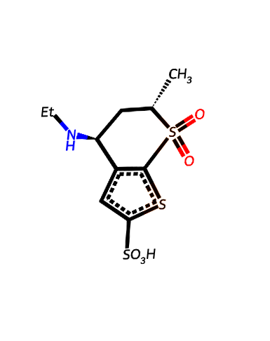 CCN[C@H]1C[C@H](C)S(=O)(=O)c2sc(S(=O)(=O)O)cc21